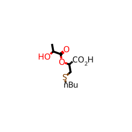 CCCCSCC(OC(=O)C(C)O)C(=O)O